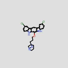 Clc1ccc2[nH]c3c(OCCCN4CN5CCC4CC5)c4[nH]c5ccc(Cl)cc5c4cc3c2c1